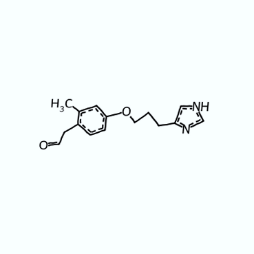 Cc1cc(OCCCc2c[nH]cn2)ccc1CC=O